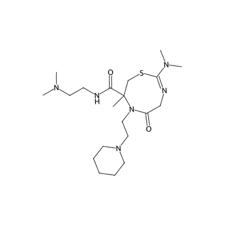 CN(C)CCNC(=O)C1(C)CS/C(N(C)C)=N\CC(=O)N1CCN1CCCCC1